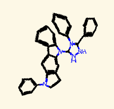 c1ccc(C2NNC(n3c4ccccc4c4cc5c(ccn5-c5ccccc5)cc43)N2c2ccccc2)cc1